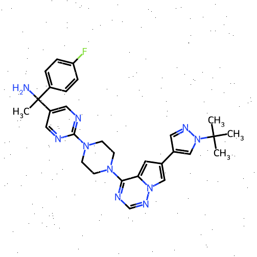 CC(N)(c1ccc(F)cc1)c1cnc(N2CCN(c3ncnn4cc(-c5cnn(C(C)(C)C)c5)cc34)CC2)nc1